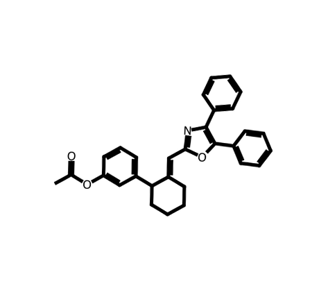 CC(=O)Oc1cccc(C2CCCCC2=Cc2nc(-c3ccccc3)c(-c3ccccc3)o2)c1